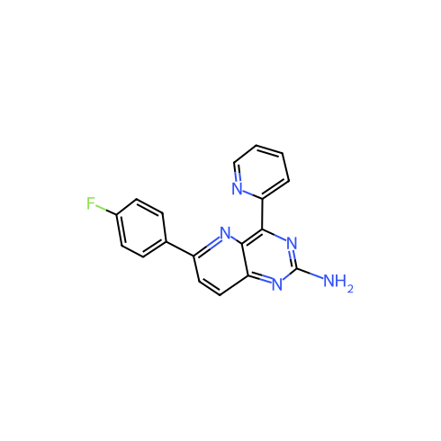 Nc1nc(-c2ccccn2)c2nc(-c3ccc(F)cc3)ccc2n1